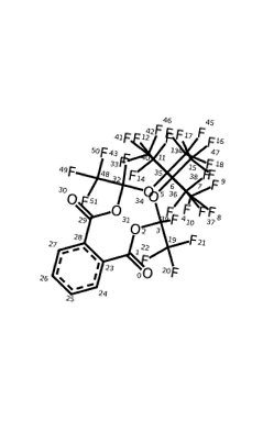 O=C(OC(F)(OC(C(F)(F)F)(C(F)(F)F)C(F)(F)F)C(F)(F)F)c1ccccc1C(=O)OC(F)(OC(C(F)(F)F)(C(F)(F)F)C(F)(F)F)C(F)(F)F